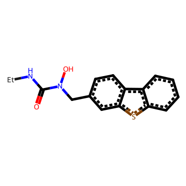 CCNC(=O)N(O)Cc1ccc2c(c1)sc1ccccc12